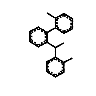 Cc1ccccc1-c1ccccc1C(C)c1ccccc1C